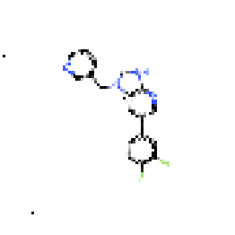 Fc1ccc(-c2cnc3c(c2)N(Cc2cccnc2)CN3)cc1F